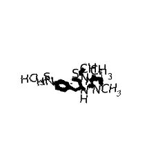 Cc1cc(C)nc(NC(Cc2[c]cc(NS(=O)(=O)O)cc2)c2csc(C)n2)n1